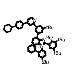 CC(C)(C)c1cc(-c2cc(-c3ccc(C4CCCCC4)cc3)ccn2)cc(-c2cccc3c2nc(-c2cc(C(C)(C)C)cc(C(C)(C)C)c2O)n3-c2ccc(C(C)(C)C)cc2-c2ccccc2)c1